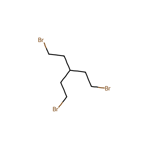 BrCCC(CCBr)CCBr